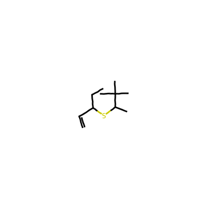 C=CC(CC)SC(C)C(C)(C)C